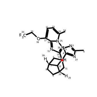 Cc1nsc(N2C[C@H]3CC[C@@H](C2)C3Nc2nc3c(OCC(F)(F)F)ccc(C)n3n2)n1